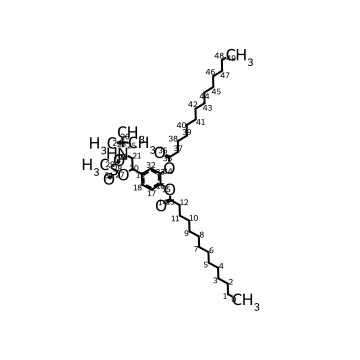 CCCCCCCCCCCCCC(=O)Oc1ccc(C(CNC(C)(C)C)OS(C)(=O)=O)cc1OC(=O)CCCCCCCCCCCCC